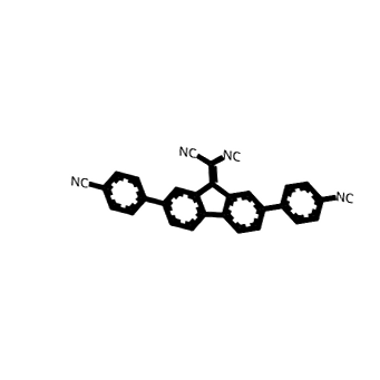 [C-]#[N+]/C(C#N)=C1/c2cc(-c3ccc(C#N)cc3)ccc2-c2ccc(-c3ccc([N+]#[C-])cc3)cc21